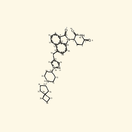 O=C1CCC(N2C(=O)c3cccc4c(Cc5cnn(C6CCN([C@H]7CCC8(CCC8)C7)CC6)c5)ccc2c34)C(=O)N1